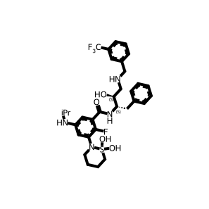 CC(C)Nc1cc(C(=O)N[C@@H](Cc2ccccc2)[C@@H](O)CNCc2cccc(C(F)(F)F)c2)c(F)c(N2CCCCS2(O)O)c1